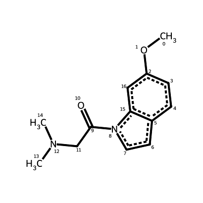 COc1ccc2ccn(C(=O)CN(C)C)c2c1